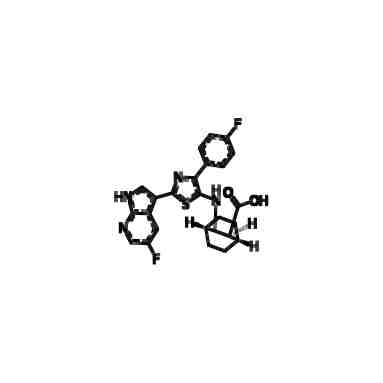 O=C(O)[C@@H]1C(Nc2sc(-c3c[nH]c4ncc(F)cc34)nc2-c2ccc(F)cc2)[C@H]2CC[C@@H]1CC2